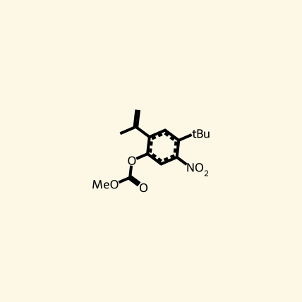 C=C(C)c1cc(C(C)(C)C)c([N+](=O)[O-])cc1OC(=O)OC